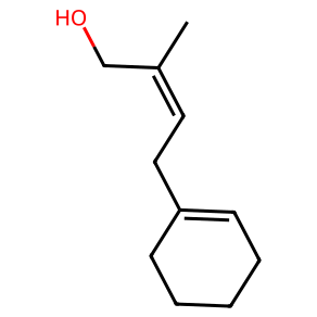 CC(=CCC1=CCCCC1)CO